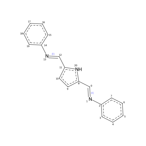 C(=N\c1ccccc1)/c1ccc(/C=N/c2ccccc2)[nH]1